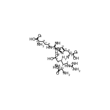 N=C(N)NCCC[C@H](N)C(=O)O.N=C(N)NCCC[C@H](N)C(=O)O.NCC(=O)O.N[C@@H](Cc1c[nH]cn1)C(=O)O